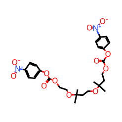 CC(C)(CCOC(=O)Oc1ccc([N+](=O)[O-])cc1)OCCC(C)(C)OCCOC(=O)Oc1ccc([N+](=O)[O-])cc1